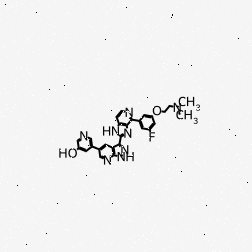 CN(C)CCOc1cc(F)cc(-c2nccc3[nH]c(-c4n[nH]c5ncc(-c6cncc(O)c6)cc45)nc23)c1